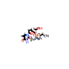 Cc1cn([C@H]2CC[C@@](CCO)(COP(OCCC#N)N(C(C)C)C(C)C)O2)c(=O)[nH]c1=O